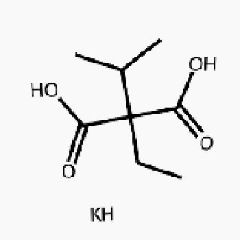 CCC(C(=O)O)(C(=O)O)C(C)C.[KH]